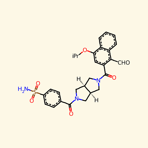 CC(C)Oc1cc(C(=O)N2C[C@H]3CN(C(=O)c4ccc(S(N)(=O)=O)cc4)C[C@H]3C2)c(C=O)c2ccccc12